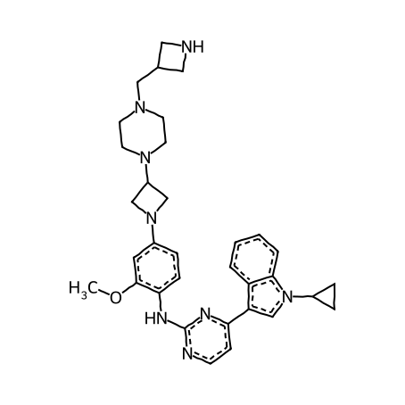 COc1cc(N2CC(N3CCN(CC4CNC4)CC3)C2)ccc1Nc1nccc(-c2cn(C3CC3)c3ccccc23)n1